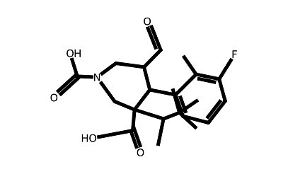 Cc1c(F)cccc1C1C(C=O)CN(C(=O)O)CC1(C(=O)O)C(C)C(C)(C)C